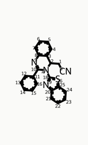 N#CCC1c2ccccc2N=C(c2ccccc2)N1c1nc2ccccc2s1